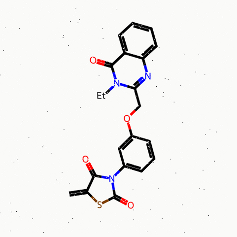 C=C1SC(=O)N(c2cccc(OCc3nc4ccccc4c(=O)n3CC)c2)C1=O